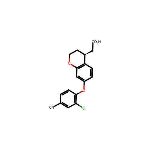 [C-]#[N+]c1ccc(Oc2ccc3c(c2)OCC[C@H]3CC(=O)O)c(Cl)c1